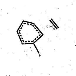 C.C=C.Fc1ccccc1